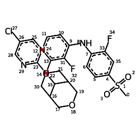 CS(=O)(=O)c1ccc(Nc2ccnc(OC3C4COCC3CN(c3ncc(Cl)cn3)C4)c2F)c(F)c1